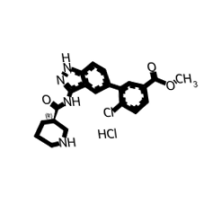 COC(=O)c1ccc(Cl)c(-c2ccc3[nH]nc(NC(=O)[C@@H]4CCCNC4)c3c2)c1.Cl